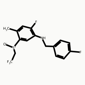 Cc1cc(F)c(NCc2ccc(F)cc2)cc1[S+]([O-])CC(F)(F)F